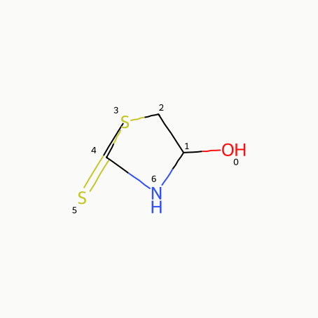 OC1CSC(=S)N1